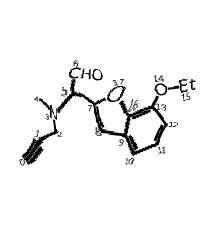 C#CCN(C)C(C=O)c1cc2cccc(OCC)c2o1